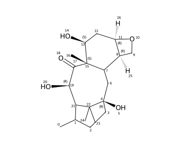 CC1CC[C@@]2(O)CC3[C@@H]4CO[C@@H]4C[C@H](O)[C@@]3(C)C(=O)[C@H](O)C1C2(C)C